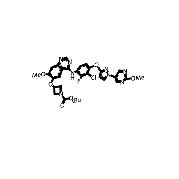 COc1ncc(-n2ccc(Oc3ccc(Nc4ncnc5cc(OC)c(OC6CN(C(=O)OC(C)(C)C)C6)cc45)c(F)c3Cl)n2)cn1